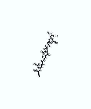 CC(O)CN(CCCC(=O)OCCC1NC(=O)C(CCOC(=O)CCCN(CC(O)C#N)CC(O)C#N)NC1=O)CC(O)C#N